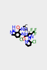 CCNC(=O)c1c(NC(=O)c2cc(C(F)(F)F)nn2-c2ncccc2Cl)c(Cl)cc2cn[nH]c12